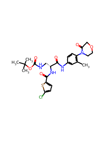 Cc1cc(NC(=O)[C@@H](CNC(=O)OC(C)(C)C)NC(=O)c2ccc(Cl)s2)ccc1N1CCOCC1=O